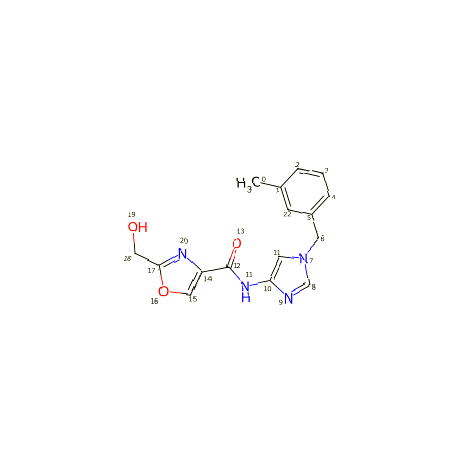 Cc1cccc(Cn2cnc(NC(=O)c3coc(CO)n3)c2)c1